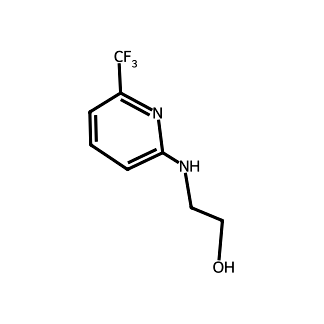 OCCNc1cccc(C(F)(F)F)n1